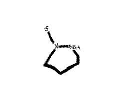 [S]N1CCCN1